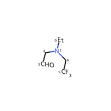 CCN(CC=O)CC(F)(F)F